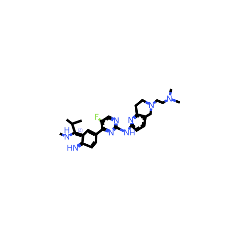 CN/C(=C1/C=C(c2nc(Nc3ccc4c(n3)CCN(CCN(C)C)C4)ncc2F)C=CC1=N)C(C)C